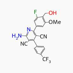 COc1cc(-c2nc(N)c(C#N)c(-c3ccc(C(F)(F)F)cc3)c2C#N)cc(F)c1CO